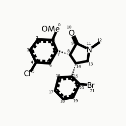 COc1ccc(Cl)cc1[C@@H]1C(=O)N(C)C[C@@H]1c1ccccc1Br